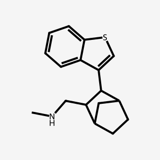 CNCC1C2CCC(C2)C1c1csc2ccccc12